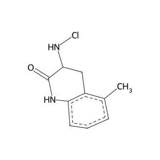 Cc1cccc2c1CC(NCl)C(=O)N2